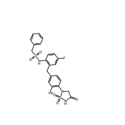 O=C1CN(c2ccc(Cc3cc(F)ccc3NS(=O)(=O)Cc3ccccc3)cc2O)S(=O)(=O)N1